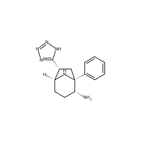 N[C@@H]1CC[C@@H]2N[C@@]1(c1ccccc1)C[C@H]2c1nnn[nH]1